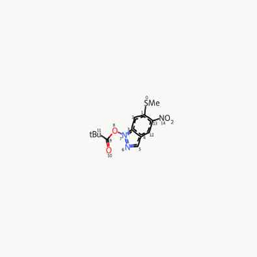 CSc1cc2c(cnn2OC(=O)C(C)(C)C)cc1[N+](=O)[O-]